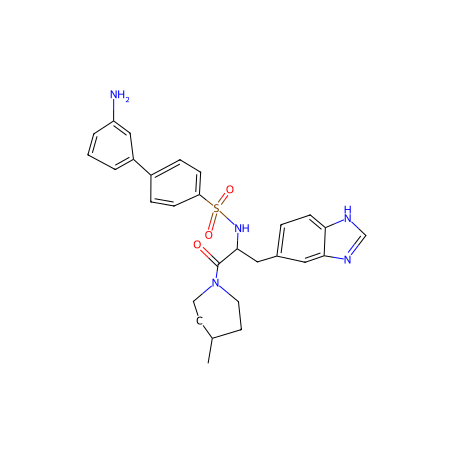 CC1CCN(C(=O)C(Cc2ccc3[nH]cnc3c2)NS(=O)(=O)c2ccc(-c3cccc(N)c3)cc2)CC1